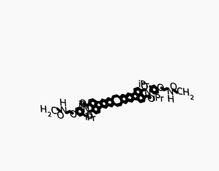 C=CC(=O)NCCOc1cc(C(C)C)c(N2C(=O)c3ccc4c5c(ccc(c35)C2=O)-c2cc3cc5c(cc3cc2-4)/C=C\c2cc3cc4c(cc3cc2CC5)-c2ccc3c5c(ccc-4c25)C(=O)N(c2c(C(C)C)cc(OCCNC(=O)C=C)cc2C(C)C)C3=O)c(C(C)C)c1